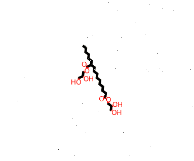 CCCCCCC(CCCCCCCCCC(=O)OCC(O)CO)C(=O)OCC(O)CO